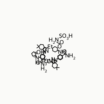 CC1(C)CCc2c(C(F)(F)F)nn(-c3ccc(C(N)=O)c(NC4CCCCC4OC(=O)CN)c3)c2C1.CCc1nn(-c2cc(N[C@H]3CCC[C@@H]3O)c(C(N)=O)c(OC)c2)c2c1CCC(C)(C)C2.CS(=O)(=O)O